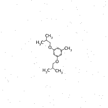 Cc1cc(OCC(C)C)cc(OCC(C)C)c1